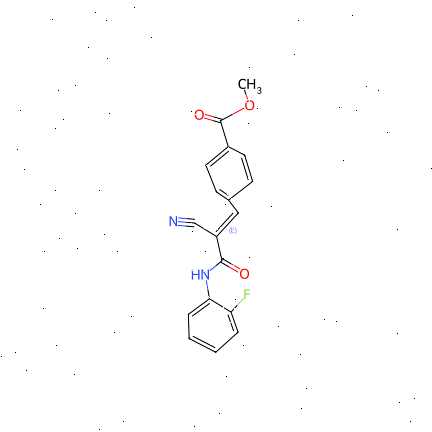 COC(=O)c1ccc(/C=C(\C#N)C(=O)Nc2ccccc2F)cc1